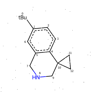 CC(C)(C)c1ccc2c(c1)CNCC21CC1